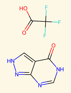 O=C(O)C(F)(F)F.O=c1[nH]cnc2n[nH]cc12